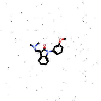 COc1cccc(N2C(=O)/C(=C\N(C)C)c3ccccc32)c1